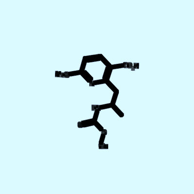 COc1ccc(C(=O)O)c(CC(C)NC(=O)OC(C)(C)C)n1